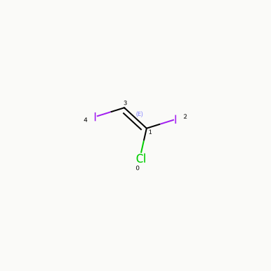 Cl/C(I)=C\I